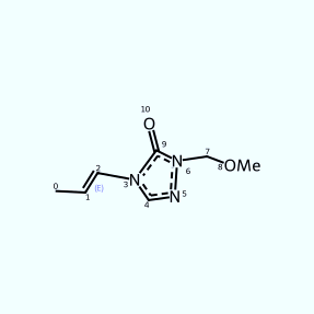 C/C=C/n1cnn(COC)c1=O